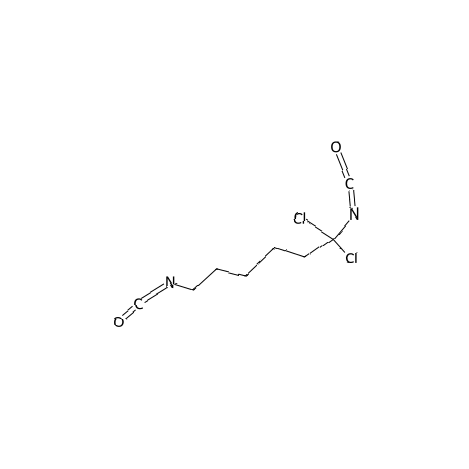 O=C=NCCCCCC(Cl)(Cl)N=C=O